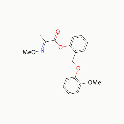 CON=C(C)C(=O)Oc1ccccc1COc1ccccc1OC